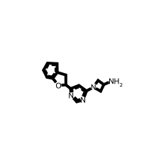 NC1CN(c2cc(C3Cc4ccccc4O3)ncn2)C1